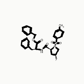 Cc1ccc(S(=O)(=O)N2C[C@@H](F)C[C@H]2C(=O)N[C@@H](Cc2ccccc2)C(=O)OCc2ccccc2)cc1